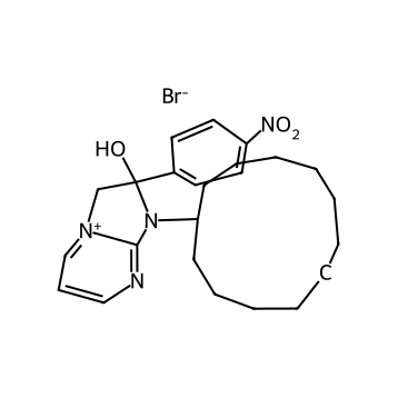 O=[N+]([O-])c1ccc(C2(O)C[n+]3cccnc3N2C2CCCCCCCCCCC2)cc1.[Br-]